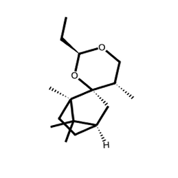 CC[C@H]1OC[C@H](C)[C@]2(C[C@H]3CC[C@]2(C)C3(C)C)O1